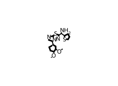 COc1ccc(-c2cnc3sc(C(N)c4cccs4)nn23)cc1OC